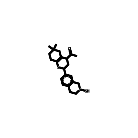 CC(=O)C1CC(c2ccc3c(c2)CN(S)CC3)SC2=C1CC(C)(C)CC2